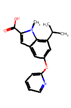 CC(C)c1cc(Oc2ccccn2)cc2cc(C(=O)O)n(C)c12